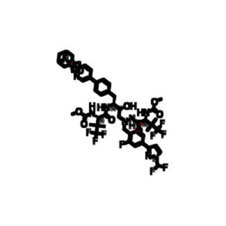 COC(=O)N[C@H](C(=O)N[C@@H](Cc1ccc(-c2ccc(N3CC4CC(C3)N4C3COC3)nc2)cc1)[C@@H](O)CN(Cc1c(F)cc(-c2ccn(C(F)F)n2)cc1F)NC(=O)[C@@H](NC(=O)OC)C(C)(C)C(F)(F)F)C(C)(C)C(F)(F)F